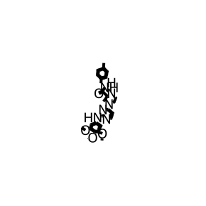 COc1cc(Nc2nccc(N3CCNC(C(=O)NCc4ccc(C)cc4)C3)n2)cc(OC)c1OC